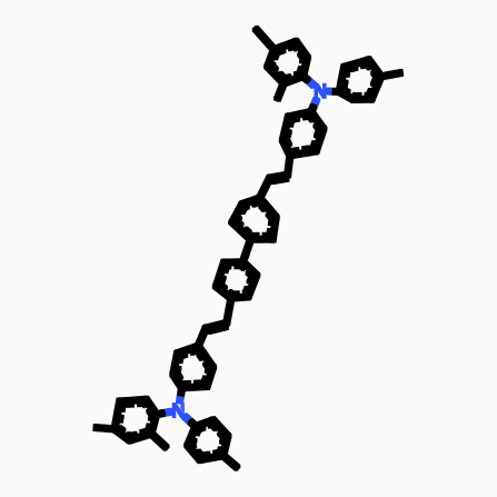 Cc1ccc(N(c2ccc(C=Cc3ccc(-c4ccc(C=Cc5ccc(N(c6ccc(C)cc6)c6ccc(C)cc6C)cc5)cc4)cc3)cc2)c2ccc(C)cc2C)cc1